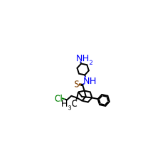 CC1(CCCl)C2CC3(c4ccccc4)CC1C(C(=S)NC1CCC(N)CC1)(C2)C3